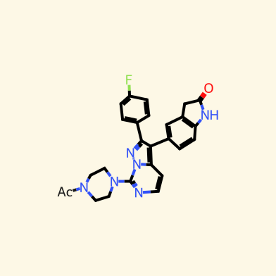 CC(=O)N1CCN(c2nccc3c(-c4ccc5c(c4)CC(=O)N5)c(-c4ccc(F)cc4)nn23)CC1